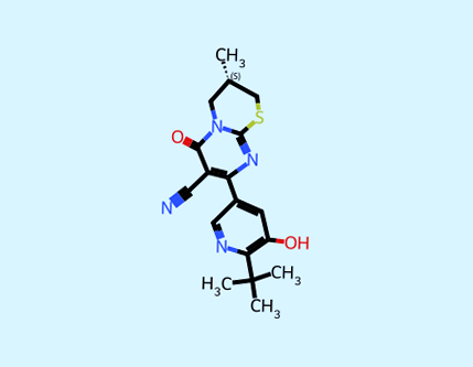 C[C@@H]1CSc2nc(-c3cnc(C(C)(C)C)c(O)c3)c(C#N)c(=O)n2C1